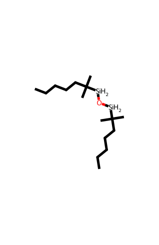 CCCCCC(C)(C)[SiH2]O[SiH2]C(C)(C)CCCCC